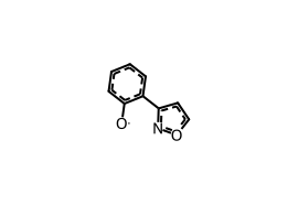 [O]c1ccccc1-c1ccon1